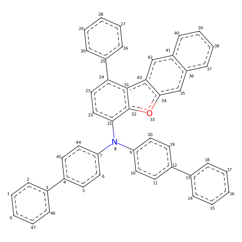 c1ccc(-c2ccc(N(c3ccc(-c4ccccc4)cc3)c3ccc(-c4ccccc4)c4c3oc3cc5ccccc5cc34)cc2)cc1